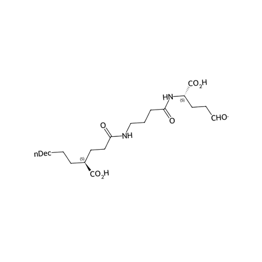 CCCCCCCCCCCC[C@@H](CCC(=O)NCCCC(=O)N[C@@H](CC[C]=O)C(=O)O)C(=O)O